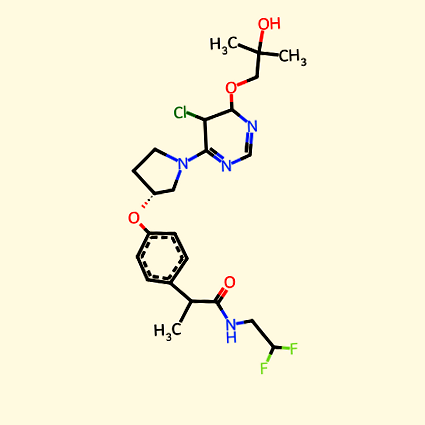 CC(C(=O)NCC(F)F)c1ccc(O[C@@H]2CCN(C3=NC=NC(OCC(C)(C)O)C3Cl)C2)cc1